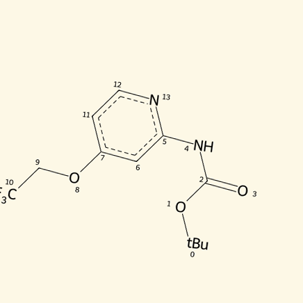 CC(C)(C)OC(=O)Nc1cc(OCC(F)(F)F)ccn1